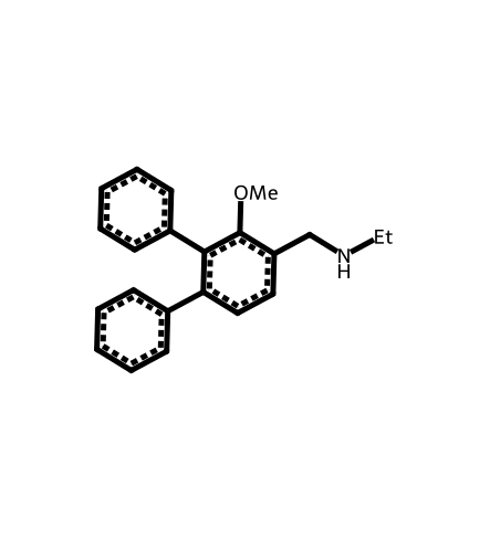 CCNCc1ccc(-c2ccccc2)c(-c2ccccc2)c1OC